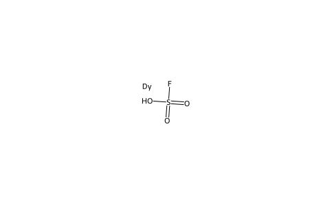 O=S(=O)(O)F.[Dy]